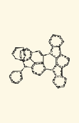 C1=CCC(N(c2ccccc2)c2ccc(-n3c4ccccc4c4ccc5c6ccccc6n(C6=Cc7ccccc7CC6)c5c43)cc2)C=C1